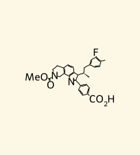 COC(=O)N1CCc2ccc3c(c2C1)N=C(c1ccc(C(=O)O)cc1)C3[C@H](C)Cc1ccc(C)c(F)c1